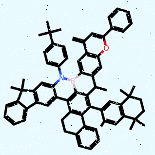 C=C1C=C(c2ccccc2)Oc2cc3c(cc21)B1c2c(c4c(c(-c5cc6c(cc5C)C(C)(C)CCC6(C)C)c2C3C)-c2ccccc2CC4)-c2cc3c(cc2N1c1ccc(C(C)(C)C)cc1)C(C)(C)c1ccccc1-3